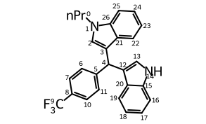 CCCn1cc(C(c2ccc(C(F)(F)F)cc2)c2c[nH]c3ccccc23)c2ccccc21